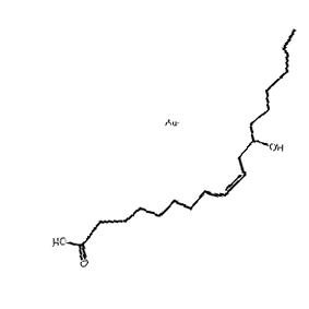 CCCCCCC(O)C/C=C\CCCCCCCC(=O)O.[Au]